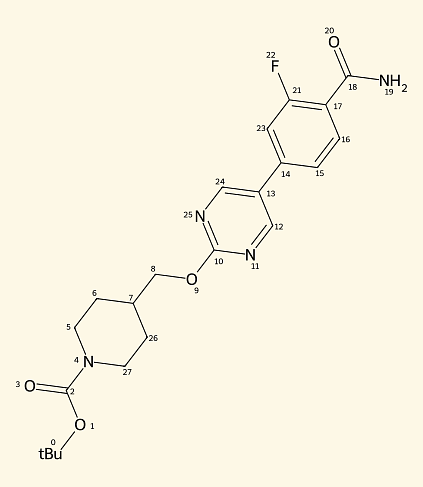 CC(C)(C)OC(=O)N1CCC(COc2ncc(-c3ccc(C(N)=O)c(F)c3)cn2)CC1